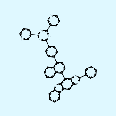 c1ccc(-c2nc3c(-c4ccc(-c5ccc(-c6nc(-c7cccnc7)nc(-c7cccnc7)n6)cc5)c5ccccc45)c4oc5ccccc5c4cc3o2)cc1